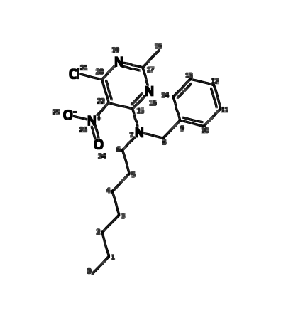 CCCCCCCN(Cc1ccccc1)c1nc(C)nc(Cl)c1[N+](=O)[O-]